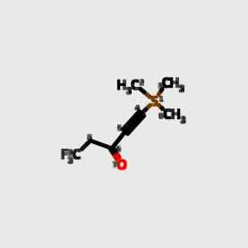 CS(C)(C)C#CC(=O)CC(F)(F)F